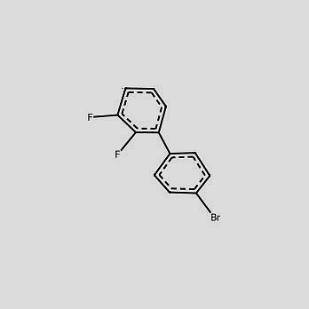 Fc1[c]ccc(-c2ccc(Br)cc2)c1F